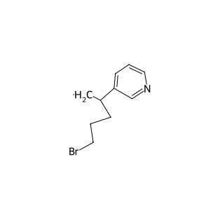 [CH2]C(CCCBr)c1cccnc1